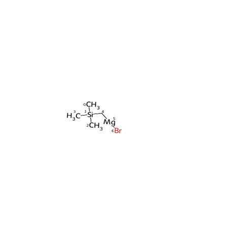 C[Si](C)(C)[CH2][Mg][Br]